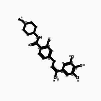 CC(=O)N1CCC(NC(=O)c2ccc(CC=C(c3cc(Cl)c(Cl)c(Cl)c3)C(F)(F)F)cc2Br)CC1